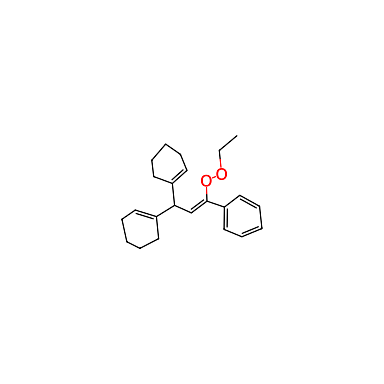 CCOOC(=CC(C1=CCCCC1)C1=CCCCC1)c1ccccc1